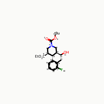 CCOC(=O)[C@H]1CN(C(=O)OC(C)(C)C)C[C@@H](CO)[C@@H]1c1cccc(F)c1C